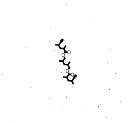 C#CC(C)CC(C)C(=O)OCC(C)CC(C)COC(=O)C(C)CC(C)C#C